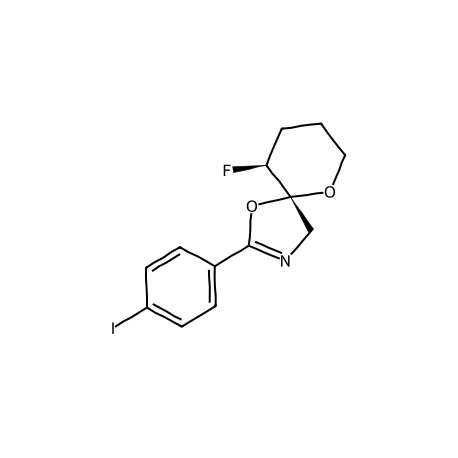 F[C@H]1CCCO[C@@]12CN=C(c1ccc(I)cc1)O2